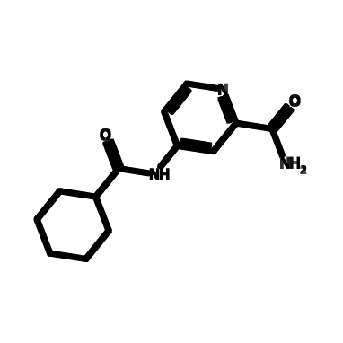 NC(=O)c1cc(NC(=O)C2CCCCC2)ccn1